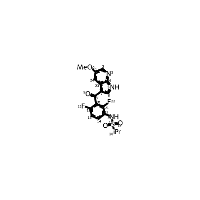 COc1cnc2[nH]cc(C(=O)c3c(F)ccc(NS(=O)(=O)C(C)C)c3F)c2c1